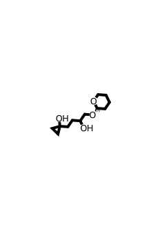 OC(CCC1(O)CC1)CO[C@H]1CCCCO1